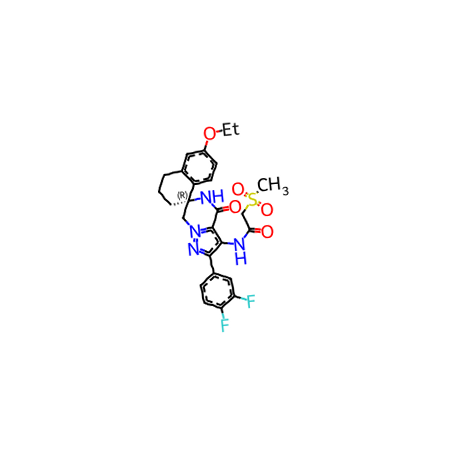 CCOc1ccc2c(c1)CCC[C@]21Cn2nc(-c3ccc(F)c(F)c3)c(NC(=O)CS(C)(=O)=O)c2C(=O)N1